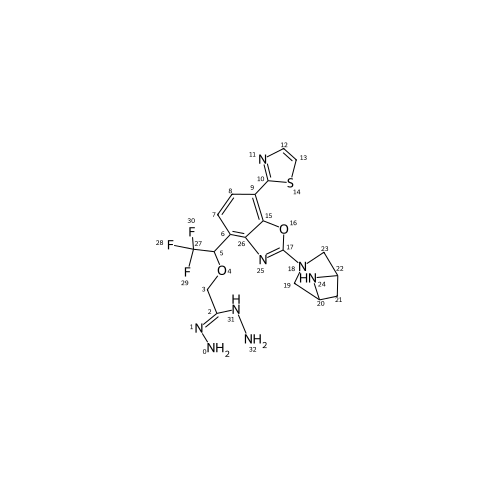 N/N=C(/COC(c1ccc(-c2nccs2)c2oc(N3CC4CC(C3)N4)nc12)C(F)(F)F)NN